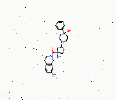 CC(C)C1(C(=O)N2CCc3ccc(C(F)(F)F)cc3C2)CCC(N2CCC(O)(c3ccccc3)CC2)C1